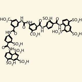 O=C(Nc1cc(C(=O)O)cc(C(=O)Nc2ccc(C(=O)Nc3ccc(S(=O)(=O)O)c4cc(S(=O)(=O)O)cc(S(=O)(=O)O)c34)c(S(=O)(=O)O)c2)c1)Nc1cc(C(=O)O)cc(C(=O)Nc2ccc(C(=O)Nc3ccc(S(=O)(=O)O)c4cc(S(=O)(=O)O)cc(S(=O)(=O)O)c34)c(S(=O)(=O)O)c2)c1